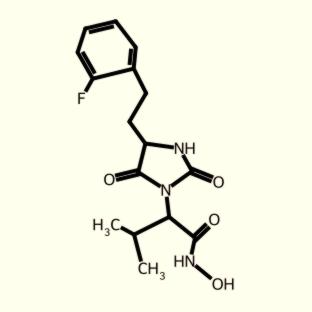 CC(C)C(C(=O)NO)N1C(=O)NC(CCc2ccccc2F)C1=O